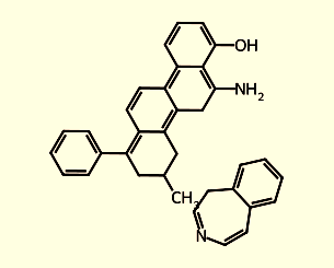 C1=Cc2ccccc2CC=N1.CC1CC(c2ccccc2)=c2ccc3c(c2C1)CC(N)=c1c(O)cccc1=3